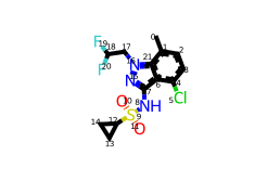 Cc1ccc(Cl)c2c(NS(=O)(=O)C3CC3)nn(CC(F)F)c12